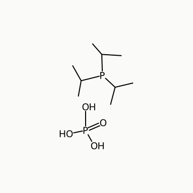 CC(C)P(C(C)C)C(C)C.O=P(O)(O)O